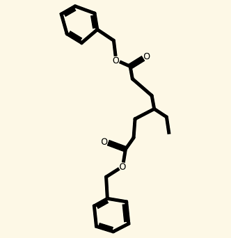 CCC(CCC(=O)OCc1ccccc1)CCC(=O)OCc1ccccc1